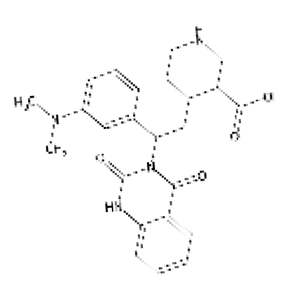 CN(C)c1cccc(C(CC2CCNCC2C(=O)O)n2c(=O)[nH]c3ccccc3c2=O)c1